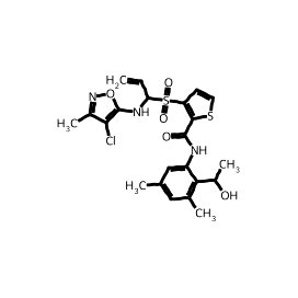 C=CC(Nc1onc(C)c1Cl)S(=O)(=O)c1ccsc1C(=O)Nc1cc(C)cc(C)c1C(C)O